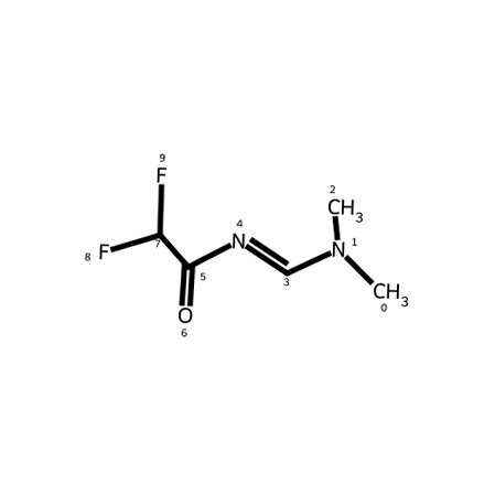 CN(C)C=NC(=O)C(F)F